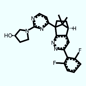 CC1(C)[C@H]2CCC1(c1ccnc(N3CC[C@H](O)C3)n1)c1nnc(-c3c(F)cccc3F)cc12